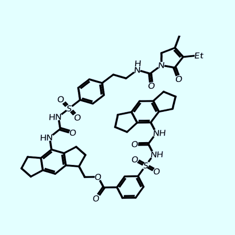 CCC1=C(C)CN(C(=O)NCCc2ccc(S(=O)(=O)NC(=O)Nc3c4c(cc5c3CCC5COC(=O)c3cccc(S(=O)(=O)NC(=O)Nc5c6c(cc7c5CCC7)CCC6)c3)CCC4)cc2)C1=O